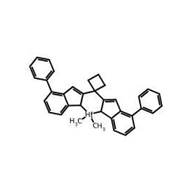 [CH3][Hf]1([CH3])[CH]2C(=Cc3c(-c4ccccc4)cccc32)C2(CCC2)C2=Cc3c(-c4ccccc4)cccc3[CH]21